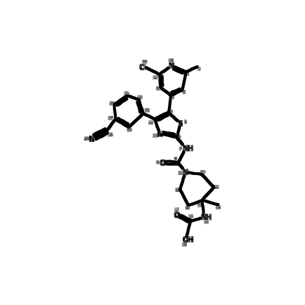 Cc1cc(-c2sc(NC(=O)N3CCC(C)(NC(=O)O)CC3)nc2-c2cccc(C#N)c2)cc(Cl)n1